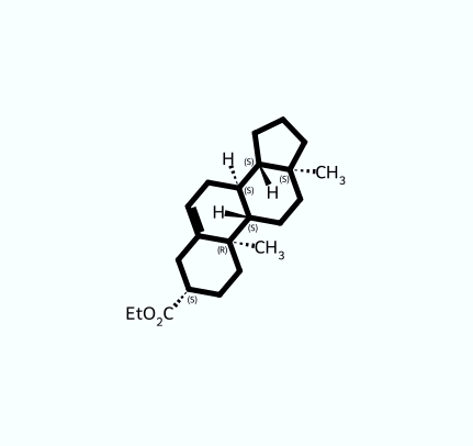 CCOC(=O)[C@H]1CC[C@@]2(C)C(=CC[C@H]3[C@@H]4CCC[C@@]4(C)CC[C@@H]32)C1